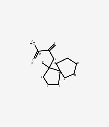 C=C(CC1(C)CCCC12CCCCC2)C(=O)O